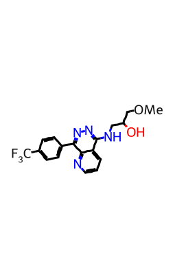 COCC(O)CNc1nnc(-c2ccc(C(F)(F)F)cc2)c2ncccc12